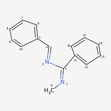 C/N=C(\N=C\c1ccccc1)c1ccccc1